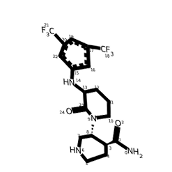 NC(=O)[C@H]1CCNC[C@@H]1N1CCCC(Nc2cc(C(F)(F)F)cc(C(F)(F)F)c2)C1=O